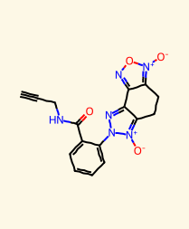 C#CCNC(=O)c1ccccc1-n1nc2c([n+]1[O-])CCc1c-2no[n+]1[O-]